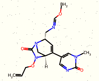 BOC=NC[C@@H]1C=C(c2cnc(=O)n(C)c2)[C@@H]2CN1C(=O)N2OCC=C